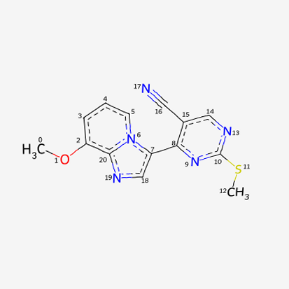 COc1cccn2c(-c3nc(SC)ncc3C#N)cnc12